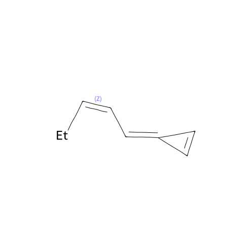 CC/C=C\C=C1C=C1